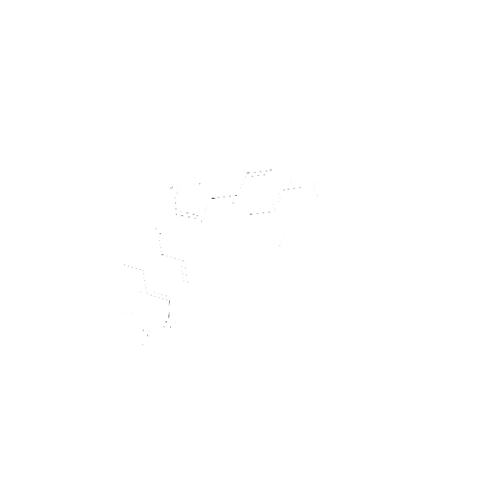 COc1cc(-c2nc(Nc3ccc4[nH]ncc4c3Cl)n(C)n2)ccc1C